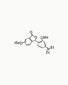 CCN(CC)c1ccc(C2OC(=O)c3cc(OC)ccc32)c(OC)c1